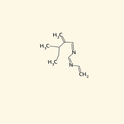 C=C/N=C\N=C/C(=C)C(C)CC